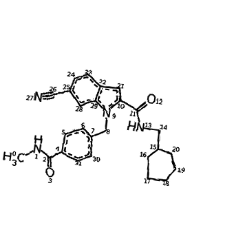 CNC(=O)c1ccc(Cn2c(C(=O)NCC3CCCCC3)cc3ccc(C#N)cc32)cc1